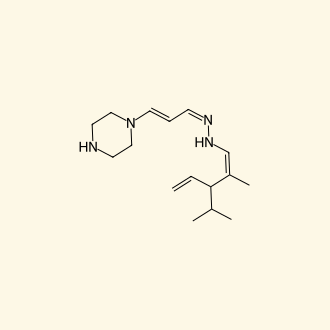 C=CC(C(C)=CN/N=C\C=C\N1CCNCC1)C(C)C